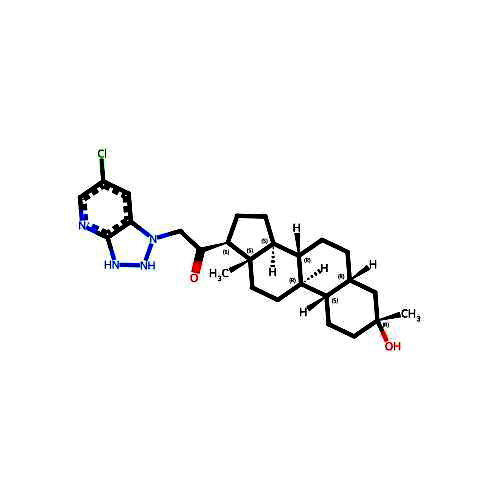 C[C@@]1(O)CC[C@H]2[C@H](CC[C@@H]3[C@@H]2CC[C@]2(C)[C@@H](C(=O)CN4NNc5ncc(Cl)cc54)CC[C@@H]32)C1